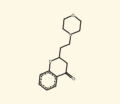 O=C1CC(CCN2CCOCC2)Oc2ccccc21